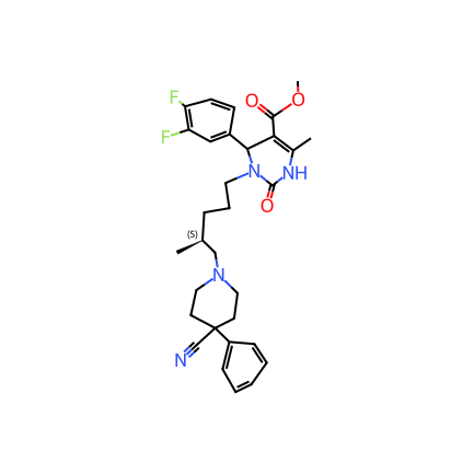 COC(=O)C1=C(C)NC(=O)N(CCC[C@H](C)CN2CCC(C#N)(c3ccccc3)CC2)C1c1ccc(F)c(F)c1